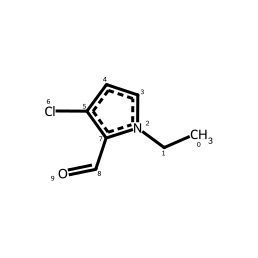 CCn1ccc(Cl)c1C=O